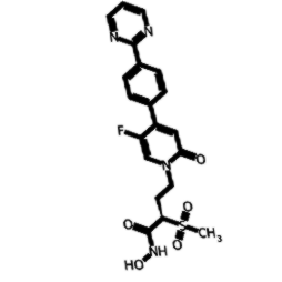 CS(=O)(=O)[C@H](CCn1cc(F)c(-c2ccc(-c3ncccn3)cc2)cc1=O)C(=O)NO